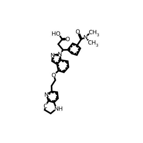 CN(C)C(=O)c1cccc(C(CC(=O)O)n2ncc3c(OCCc4ccc5c(n4)CCCN5)cccc32)c1